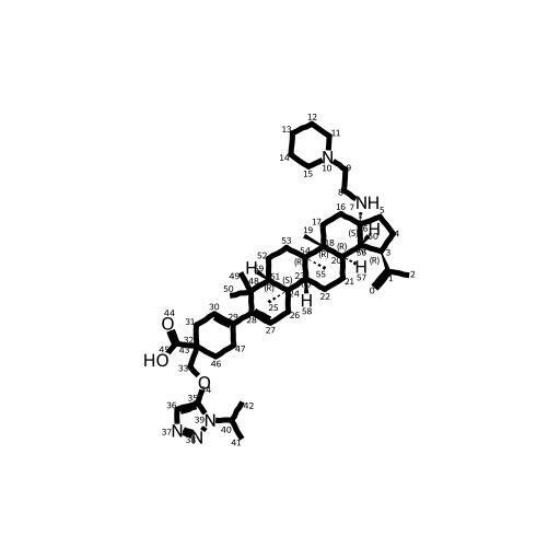 C=C(C)[C@@H]1CC[C@]2(NCCN3CCCCC3)CC[C@]3(C)[C@H](CC[C@@H]4[C@@]5(C)CC=C(C6=CCC(COc7cnnn7C(C)C)(C(=O)O)CC6)C(C)(C)[C@@H]5CC[C@]43C)[C@@H]12